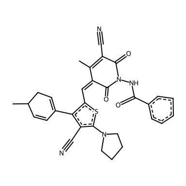 CC1=C(C#N)C(=O)N(NC(=O)c2ccccc2)C(=O)/C1=C\c1sc(N2CCCC2)c(C#N)c1C1=CCC(C)C=C1